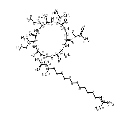 CC[C@@H](C)[C@H]1NC(=O)[C@@H](NC(=O)CC(O)CCCCCCCCCCCCN=C(N)N)[C@@H](C)OC(=O)[C@@H](C)NC(=O)[C@@H](CCC(N)=O)NC(=O)[C@@H]([C@@H](C)O)NC(=O)[C@H]([C@@H](C)CC)NC1=O